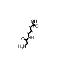 NCC(=O)NCCCC(=O)O